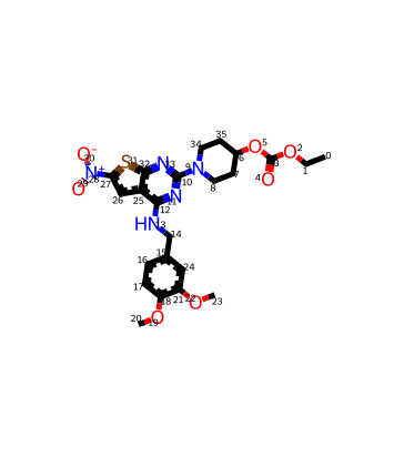 CCOC(=O)OC1CCN(c2nc(NCc3ccc(OC)c(OC)c3)c3cc([N+](=O)[O-])sc3n2)CC1